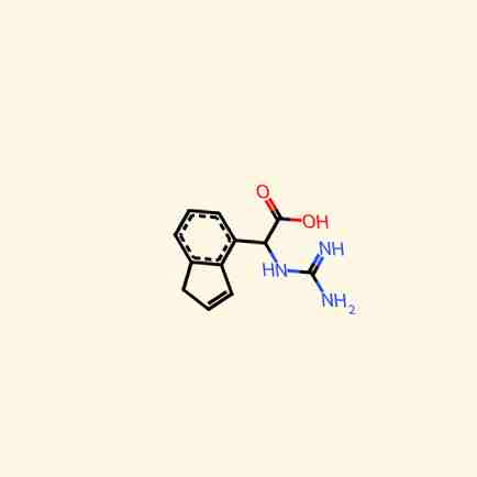 N=C(N)NC(C(=O)O)c1cccc2c1C=CC2